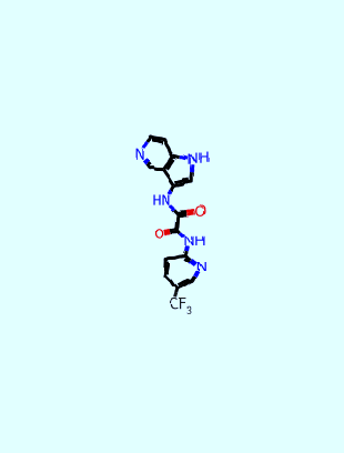 O=C(Nc1ccc(C(F)(F)F)cn1)C(=O)Nc1c[nH]c2ccncc12